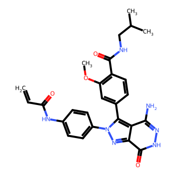 C=CC(=O)Nc1ccc(-n2nc3c(=O)[nH]nc(N)c3c2-c2ccc(C(=O)NCC(C)C)c(OC)c2)cc1